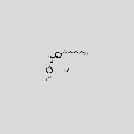 CCF.O=C(C=Cc1ccc(OCF)cc1)c1ccc(OCCCCCCO)cc1